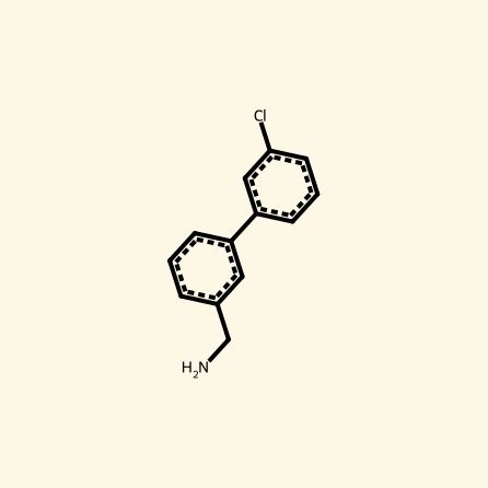 NCc1cccc(-c2cccc(Cl)c2)c1